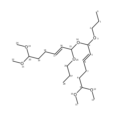 CCCOC(C=CCCC(OC)OC)OC(C=CCCC(OC)OC)OCCC